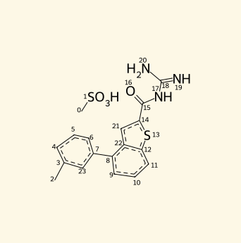 CS(=O)(=O)O.Cc1cccc(-c2cccc3sc(C(=O)NC(=N)N)cc23)c1